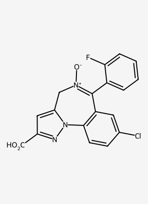 O=C(O)c1cc2n(n1)-c1ccc(Cl)cc1C(c1ccccc1F)=[N+]([O-])C2